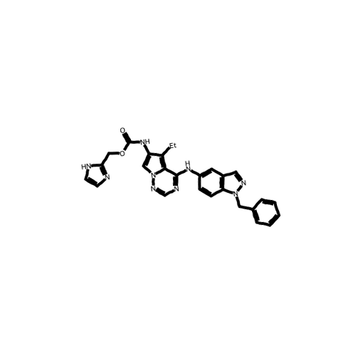 CCc1c(NC(=O)OCc2ncc[nH]2)cn2ncnc(Nc3ccc4c(cnn4Cc4ccccc4)c3)c12